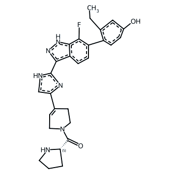 CCc1cc(O)ccc1-c1ccc2c(-c3nc(C4=CCN(C(=O)[C@@H]5CCCN5)CC4)c[nH]3)n[nH]c2c1F